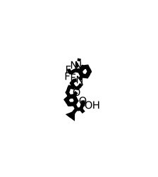 CC(C(=O)O)C(c1ccc2c(c1)OC1(CC2)CCN(c2cccc3c2c(C(F)(F)F)nn3C)CC1)C1CC1